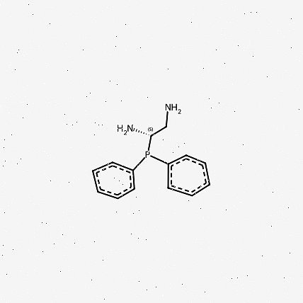 NC[C@@H](N)P(c1ccccc1)c1ccccc1